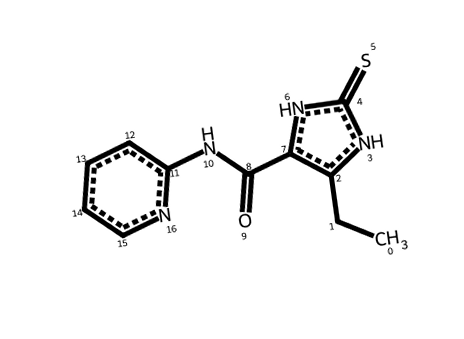 CCc1[nH]c(=S)[nH]c1C(=O)Nc1ccccn1